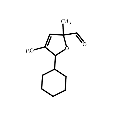 CC1(C=O)C=C(O)C(C2CCCCC2)O1